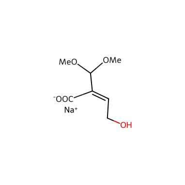 COC(OC)C(=CCO)C(=O)[O-].[Na+]